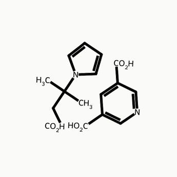 CC(C)(CC(=O)O)n1cccc1.O=C(O)c1cncc(C(=O)O)c1